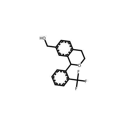 OCc1ccc2c(c1)C(c1ccccc1C(F)(F)F)OCC2